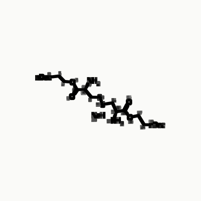 CCCCCCCCCCCCOC(=O)[C@@H](N)CSSC[C@H](N)C(=O)OCCCCCCCCCCCC.[NaH]